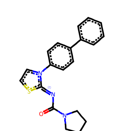 O=C(/N=c1\sccn1-c1ccc(-c2ccccc2)cc1)N1CCCC1